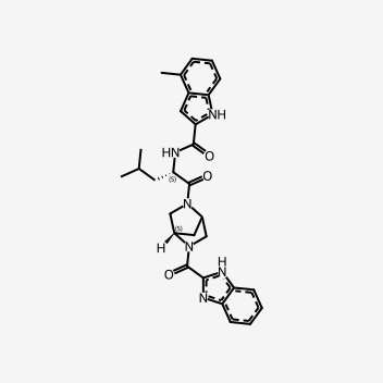 Cc1cccc2[nH]c(C(=O)N[C@@H](CC(C)C)C(=O)N3C[C@@H]4CC3CN4C(=O)c3nc4ccccc4[nH]3)cc12